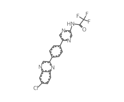 O=C(Nc1cnc(-c2ccc(-c3cnc4cc(Cl)ccc4n3)cc2)cn1)C(F)(F)F